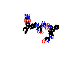 C=C/C=C(\C=C/C)CC1(c2cc3cnn(-c4cn(C)c(=O)cc4Cn4ncc(S(=O)(=O)N5CCC(c6cc7cnn(-c8ccc(=O)n(C)c8)c7cc6C)(C(C)c6ccccc6)C5)n4)c3cc2C)CCN(S(=O)(=O)c2cn(C)nn2)C1